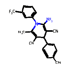 [C-]#[N+]C1=C(C)N(c2cccc(C(F)(F)F)c2)C(N)=C(C#N)C1c1ccc(C#N)cc1